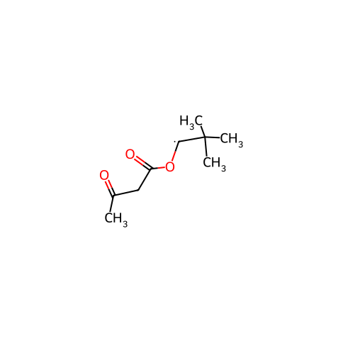 CC(=O)CC(=O)O[CH]C(C)(C)C